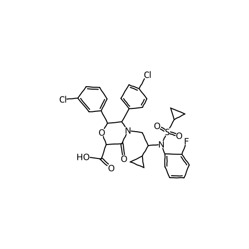 O=C(O)C1OC(c2cccc(Cl)c2)C(c2ccc(Cl)cc2)N(CC(C2CC2)N(c2ccccc2F)S(=O)(=O)C2CC2)C1=O